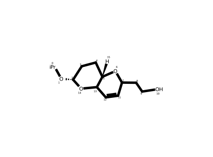 CC(C)O[C@@H]1CC[C@@H]2OC(CCO)C=CC2O1